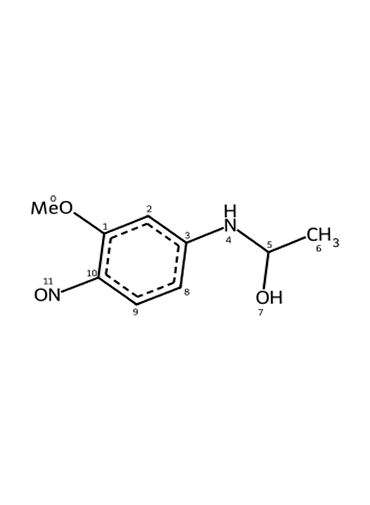 COc1cc(NC(C)O)ccc1N=O